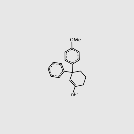 CCCC1=CC(c2ccccc2)(c2ccc(OC)cc2)CCC1